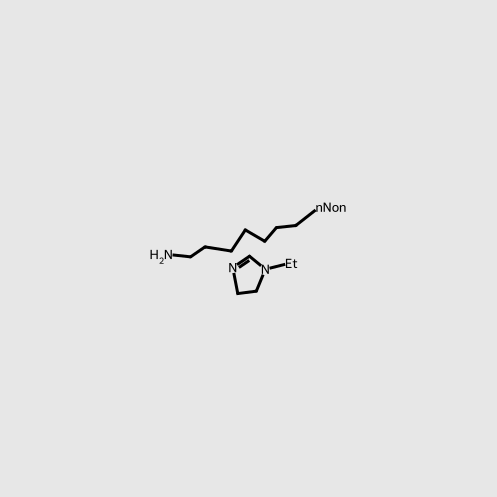 CCCCCCCCCCCCCCCCN.CCN1C=NCC1